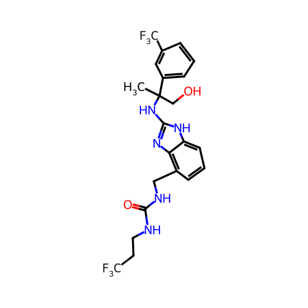 CC(CO)(Nc1nc2c(CNC(=O)NCCC(F)(F)F)cccc2[nH]1)c1cccc(C(F)(F)F)c1